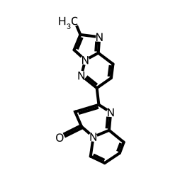 Cc1cn2nc(-c3cc(=O)n4ccccc4n3)ccc2n1